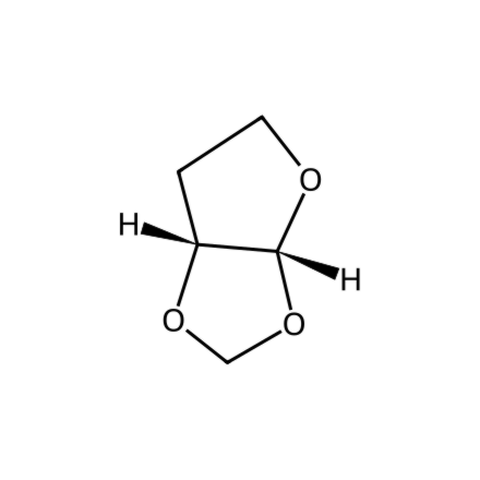 C1C[C@H]2OCO[C@H]2O1